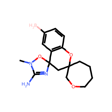 Bc1ccc2c(c1)C1(CC3(CCCCOC3)O2)N=C(N)N(C)O1